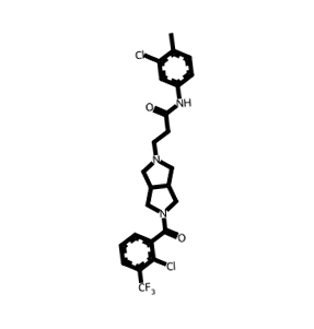 Cc1ccc(NC(=O)CCN2CC3CN(C(=O)c4cccc(C(F)(F)F)c4Cl)CC3C2)cc1Cl